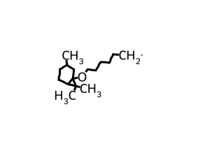 [CH2]CCCCCOC12CC(C)CCC1C2(C)C